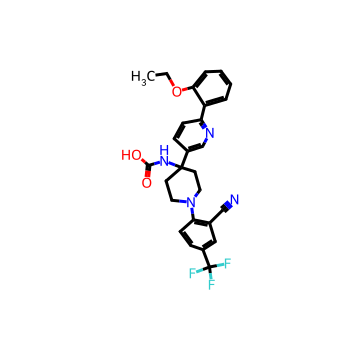 CCOc1ccccc1-c1ccc(C2(NC(=O)O)CCN(c3ccc(C(F)(F)F)cc3C#N)CC2)cn1